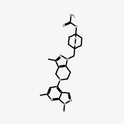 Cc1cc(N2CCc3c(c(C)nn3CC34CCC(OC(N)=O)(CC3)CC4)C2)c2cnn(C)c2n1